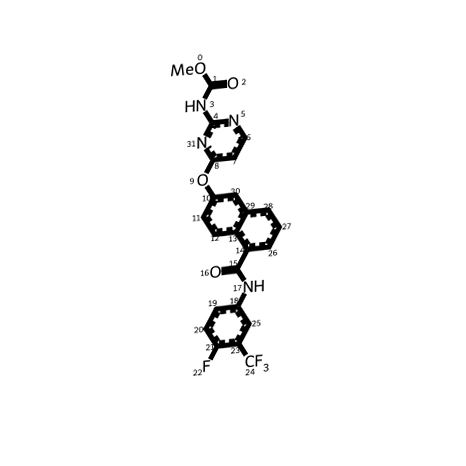 COC(=O)Nc1nccc(Oc2ccc3c(C(=O)Nc4ccc(F)c(C(F)(F)F)c4)cccc3c2)n1